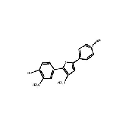 CCC[n+]1ccc(-c2cc(S(=O)(=O)O)c(-c3ccc(O)c(S(=O)(=O)O)c3)s2)cc1